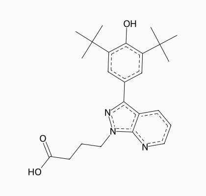 CC(C)(C)c1cc(-c2nn(CCCC(=O)O)c3ncccc23)cc(C(C)(C)C)c1O